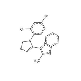 Cc1nc2ccccn2c1C1=CSCN1c1ccc(Br)cc1Cl